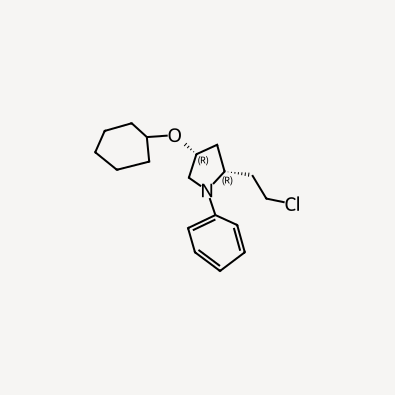 ClCC[C@H]1C[C@@H](OC2CCCCC2)CN1c1ccccc1